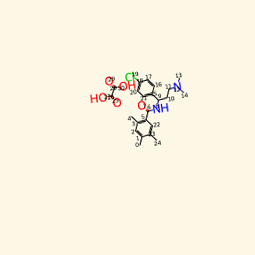 Cc1cc(C)c(C(=O)NC(CCN(C)C)c2ccc(Cl)cc2)cc1C.O=C(O)C(=O)O